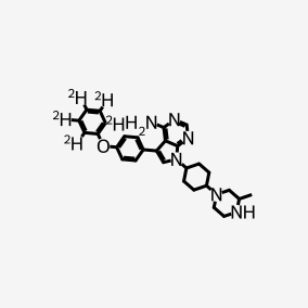 [2H]c1c([2H])c([2H])c(Oc2ccc(-c3cn(C4CCC(N5CCNC(C)C5)CC4)c4ncnc(N)c34)cc2)c([2H])c1[2H]